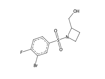 O=S(=O)(c1ccc(F)c(Br)c1)N1CCC1CO